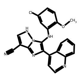 COc1ccc(Cl)cc1Nc1c(-c2ccnc3ccccc23)nc2c(C#N)c[nH]n12